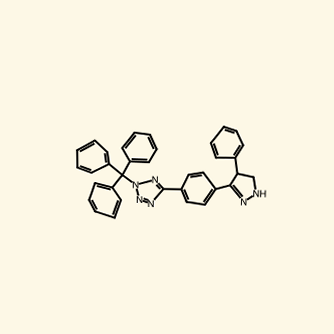 c1ccc(C2CNN=C2c2ccc(-c3nnn(C(c4ccccc4)(c4ccccc4)c4ccccc4)n3)cc2)cc1